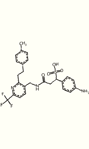 Cc1ccc(CCc2nc(C(F)(F)F)ccc2CNC(=O)CC(c2ccc(N)cc2)S(=O)(=O)O)cc1